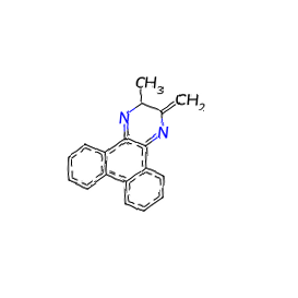 C=C1N=c2c(c3ccccc3c3ccccc23)=NC1C